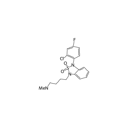 CNCCCCN1c2ccccc2N(c2ccc(F)cc2Cl)S1(=O)=O